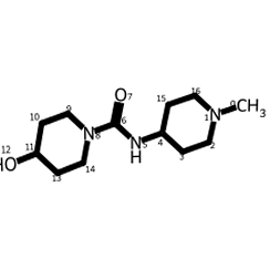 CN1CCC(NC(=O)N2CCC(O)CC2)CC1